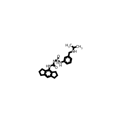 CC(C)NCc1cccc(N/[SH](=O)=N\C(=O)Nc2c3c(cc4c2CCC4)CCC3)c1